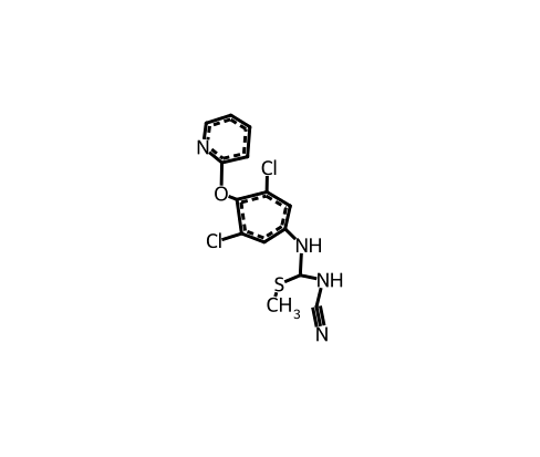 CSC(NC#N)Nc1cc(Cl)c(Oc2ccccn2)c(Cl)c1